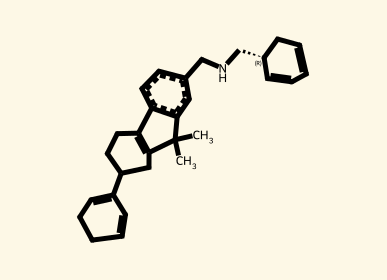 CC1(C)C2=C(CCC(C3=CCCC=C3)C2)c2ccc(CNC[C@H]3C=CC=CC3)cc21